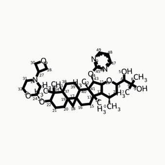 C[C@@H]1CC(C(O)C(C)(C)O)OC2C1C1(C)CCC34CC35CCC(O[C@H]3CN(C6COC6)CCO3)C(C)(C)[C@@H]5CCC4[C@]1(C)[C@H]2Oc1ncccn1